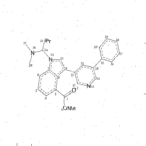 COC(=O)c1cccc2c1c(-c1cncc(-c3ccccc3)c1)cn2C(C(C)C)N(C)C